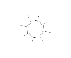 CC1=C(C)C(C)=C(C)C(C)=C(C)C(C)=C1C